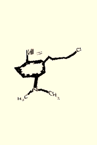 CN(C)c1ccc(N)c(CCCl)c1